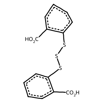 O=C(O)c1ccccc1SSSc1ccccc1C(=O)O